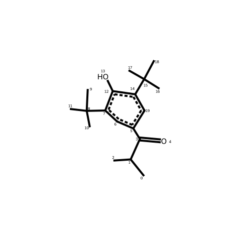 CC(C)C(=O)c1cc(C(C)(C)C)c(O)c(C(C)(C)C)c1